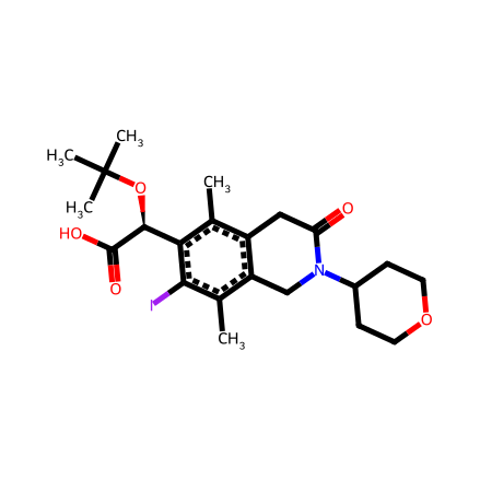 Cc1c(I)c([C@H](OC(C)(C)C)C(=O)O)c(C)c2c1CN(C1CCOCC1)C(=O)C2